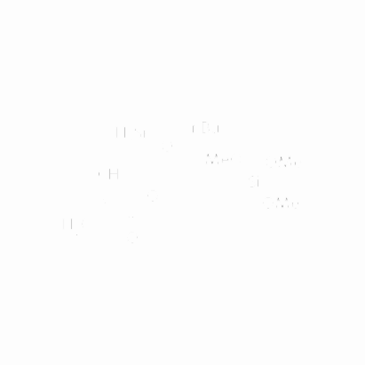 C=C(C)C(=O)OCCC[Si](OC)(OC)OC.CCCCO[SiH3]